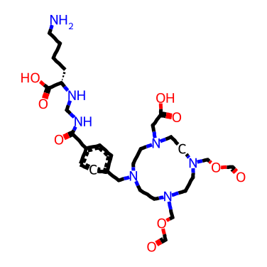 NCCCC[C@H](NCNC(=O)c1ccc(CN2CCN(COC=O)CCN(COC=O)CCN(CC(=O)O)CC2)cc1)C(=O)O